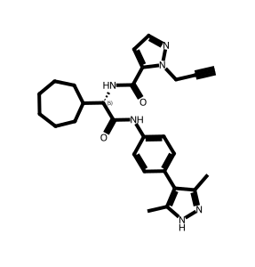 C#CCn1nccc1C(=O)N[C@H](C(=O)Nc1ccc(-c2c(C)n[nH]c2C)cc1)C1CCCCCC1